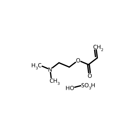 C=CC(=O)OCCN(C)C.O=S(=O)(O)O